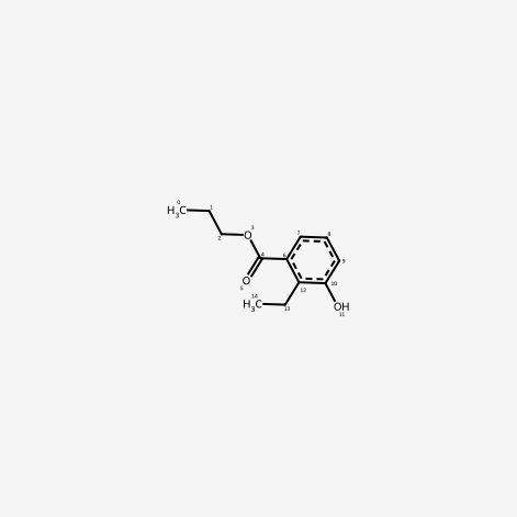 CCCOC(=O)c1cccc(O)c1CC